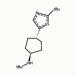 CC(C)(C)N[C@H]1CC[C@H](c2cnc(C(C)(C)C)s2)CC1